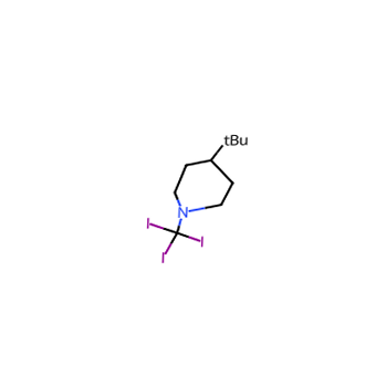 CC(C)(C)C1CCN(C(I)(I)I)CC1